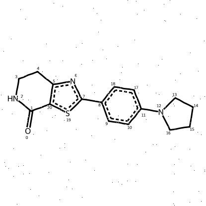 O=C1NCCc2nc(-c3ccc(N4CCCC4)cc3)sc21